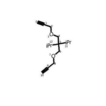 C#CCOCC(COCC#C)(C(C)C)C(C)C